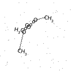 CCCCCCCCCCCCCCCCOC(C)c1ccc(C(=O)Oc2ccc(-c3ccc(OCCCCCCCCC)cc3)cc2)cc1